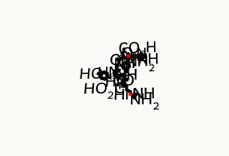 N=C(N)NCCC[C@H](NC(=O)[C@@H](Cc1ccccc1)NC(=O)[C@H](Cc1ccc(O)cc1)NC(=O)CNC(=O)[C@H](CCC(=O)O)NC(=O)[C@H](N)Cc1c[nH]cn1)C(=O)O